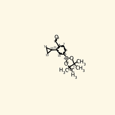 CC1(C)OB(c2ccc(C=O)c(C3CC3)c2)OC1(C)C